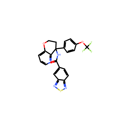 O=C(NC1(c2ccc(OC(F)(F)F)cc2)CCOc2cccnc21)c1ccc2nsnc2c1